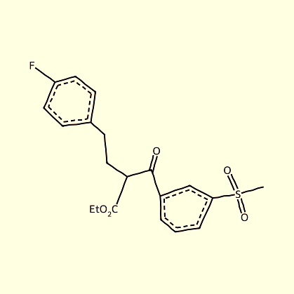 CCOC(=O)C(CCc1ccc(F)cc1)C(=O)c1cccc(S(C)(=O)=O)c1